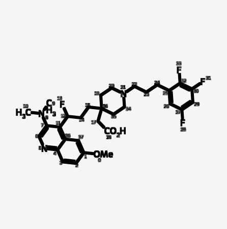 COc1ccc2ncc(N(C)C)c(C(F)CCC3(CC(=O)O)CCN(CCCc4cc(F)cc(F)c4F)CC3)c2c1